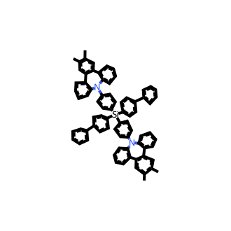 Cc1cc2c(cc1C)-c1ccccc1N(c1ccc([Si](c3ccc(-c4ccccc4)cc3)(c3ccc(-c4ccccc4)cc3)c3ccc(N4c5ccccc5-c5cc(C)c(C)cc5-c5ccccc54)cc3)cc1)c1ccccc1-2